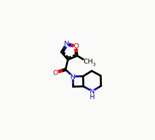 Cc1oncc1C(=O)N1CC2NCCCC21